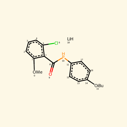 COc1cccc(Cl)c1C(=O)Pc1ccc(OCC(C)C)cc1.[LiH]